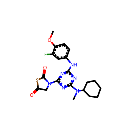 COc1ccc(Nc2nc(N3CC(=O)SC3=O)nc(N(C)C3CCCCC3)n2)cc1F